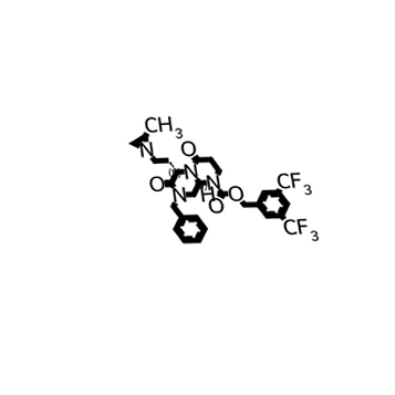 CC1CN1CC[C@H]1C(=O)N(Cc2ccccc2)C[C@@H]2N(C(=O)OCc3cc(C(F)(F)F)cc(C(F)(F)F)c3)CCC(=O)N21